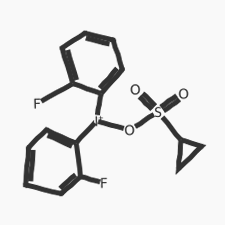 O=S(=O)(O[I+](c1ccccc1F)c1ccccc1F)C1CC1